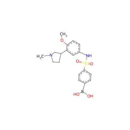 COc1ccc(NS(=O)(=O)c2ccc(B(O)O)cc2)cc1C1CCN(C)C1